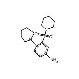 Nc1ccc(N2CCCCC2)c(S(=O)(=O)N2CCCCC2)c1